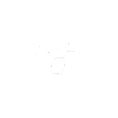 CC(C)C1C2C=CC(O2)C1C(C)(C)C